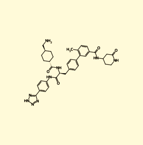 Cc1ccc(C(=O)NC2CCNC(=O)C2)cc1-c1ccc(C[C@H](NC(=O)[C@H]2CC[C@H](CN)CC2)C(=O)Nc2ccc(-c3nn[nH]n3)cc2)cc1